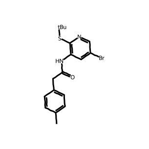 Cc1ccc(CC(=O)Nc2cc(Br)cnc2SC(C)(C)C)cc1